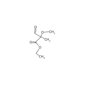 CCOC(=O)C(C)(C=O)OC